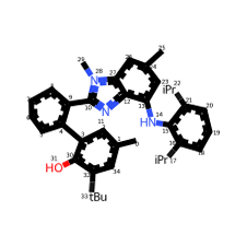 Cc1cc(-c2ccccc2-c2nc3c(Nc4c(C(C)C)cccc4C(C)C)cc(C)cc3n2C)c(O)c(C(C)(C)C)c1